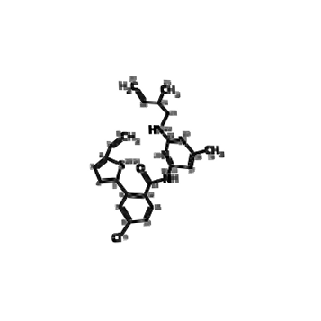 C=Cc1ccc(-c2cc(Cl)ccc2C(=O)Nc2cc(C)nc(NCC(C)C=C)n2)s1